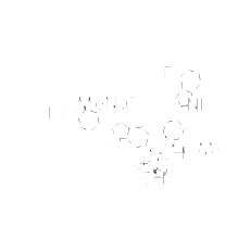 CNC(=O)c1c(-c2ccc(C)cc2)oc2cc(N(C)S(C)(=O)=O)c(-c3cc(-c4cc5c(F)cccc5[nH]4)cc(OC)n3)cc12